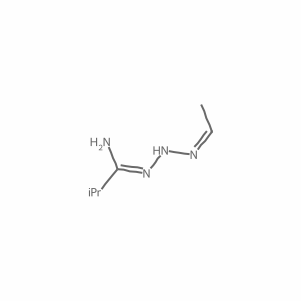 C/C=N\N/N=C(\N)C(C)C